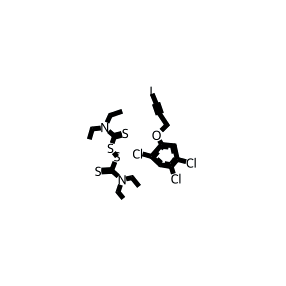 CCN(CC)C(=S)SSC(=S)N(CC)CC.Clc1cc(Cl)c(OCC#CI)cc1Cl